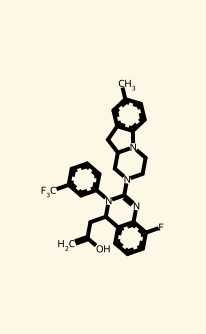 C=C(O)CC1c2cccc(F)c2N=C(N2CCN3c4ccc(C)cc4CC3C2)N1c1cccc(C(F)(F)F)c1